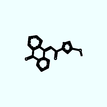 COc1csc(C(=O)C=C2c3ccccc3C(=O)c3ccccc32)c1